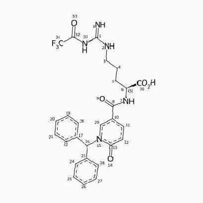 N=C(NCCC[C@H](NC(=O)c1ccc(=O)n(C(c2ccccc2)c2ccccc2)c1)C(=O)O)NC(=O)C(F)(F)F